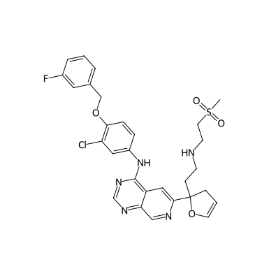 CS(=O)(=O)CCNCCC1(c2cc3c(Nc4ccc(OCc5cccc(F)c5)c(Cl)c4)ncnc3cn2)CC=CO1